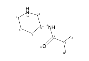 CC(C)C(=O)N[C@@H]1CCCNC1